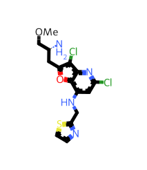 COC[C@H](N)Cc1oc2c(NCc3nccs3)cc(Cl)nc2c1Cl